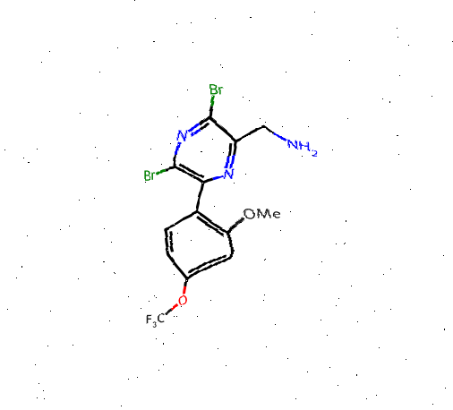 COc1cc(OC(F)(F)F)ccc1-c1nc(CN)c(Br)nc1Br